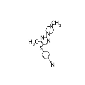 Cc1nc(N2CCN(C)CC2)ncc1Sc1ccc(C#N)cc1